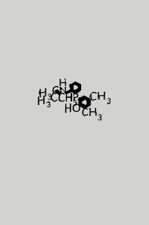 Cc1cc(C)c(O)c(Pc2ccccc2CNC(C)(C)C)c1